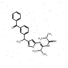 CC(c1cccc(C(=O)c2ccccc2)c1)c1cc(/N=C(/NC(=N)N(C)C)N(C)C)on1